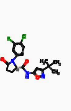 CC(C)(C)c1cc(NC(=O)[C@@H]2CCC(=O)N2c2ccc(Cl)c(F)c2)on1